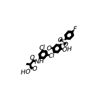 CC(C(=O)O)C(=O)Nc1cc(Cl)c(Oc2ccc(O)c(S(=O)(=O)c3ccc(F)cc3)c2)c(Cl)c1